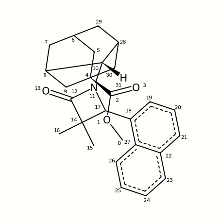 COC(=O)[C@]12CC3CC(C1)[C@@H](N1C(=O)C(C)(C)C1c1cccc4ccccc14)C(C3)C2